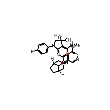 CNc1nc(NC2[C@@H]3CC[C@H]2CN(c2cnnc(Cl)c2)C3)nc2c1C(C)(C)CN2c1ccc(F)cc1